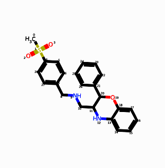 CS(=O)(=O)c1ccc(CNCC2Nc3ccccc3OC2c2ccccc2)cc1